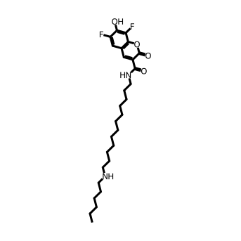 CCCCCCNCCCCCCCCCCCCNC(=O)c1cc2cc(F)c(O)c(F)c2oc1=O